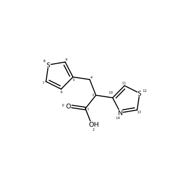 O=C(O)C(Cc1ccsc1)c1cscn1